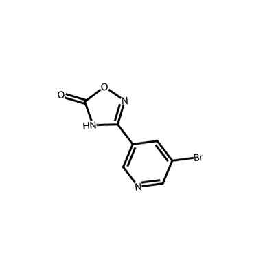 O=c1[nH]c(-c2cncc(Br)c2)no1